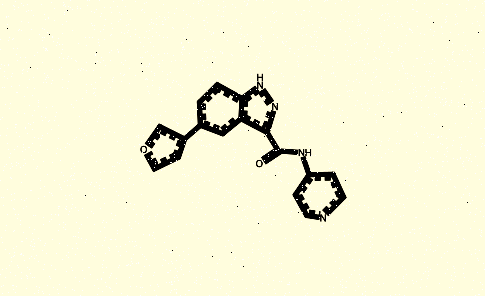 O=C(Nc1ccncc1)c1n[nH]c2ccc(-c3ccoc3)cc12